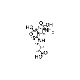 N[C@]1(C(=O)O)C[C@H](C(=O)O)N(C(=S)NCCCC(=O)O)C1